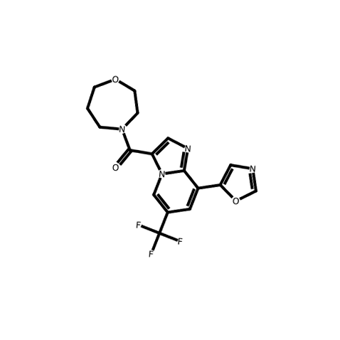 O=C(c1cnc2c(-c3cnco3)cc(C(F)(F)F)cn12)N1CCCOCC1